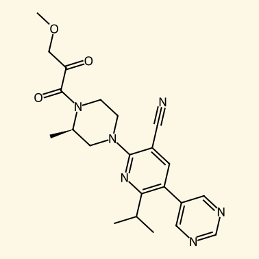 COCC(=O)C(=O)N1CCN(c2nc(C(C)C)c(-c3cncnc3)cc2C#N)C[C@H]1C